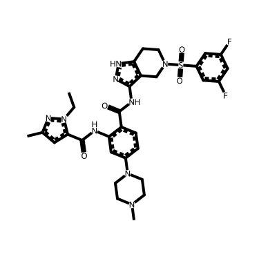 CCn1nc(C)cc1C(=O)Nc1cc(N2CCN(C)CC2)ccc1C(=O)Nc1n[nH]c2c1CN(S(=O)(=O)c1cc(F)cc(F)c1)CC2